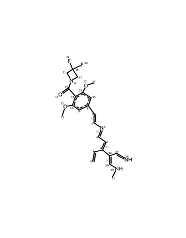 C=CC(=C\C=N\C=C\c1cc(OC)c(C(=O)N2CC(F)(F)C2)c(OC)c1)/C(C=N)=C/NC